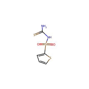 NC(=S)NS(=O)(=O)c1cccs1